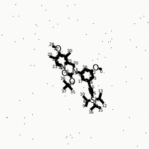 COc1cc(C#C[Si](C(C)C)(C(C)C)C(C)C)cc(N(Cc2ncc(C)c(OC)c2C)C(=O)OC(C)(C)C)c1